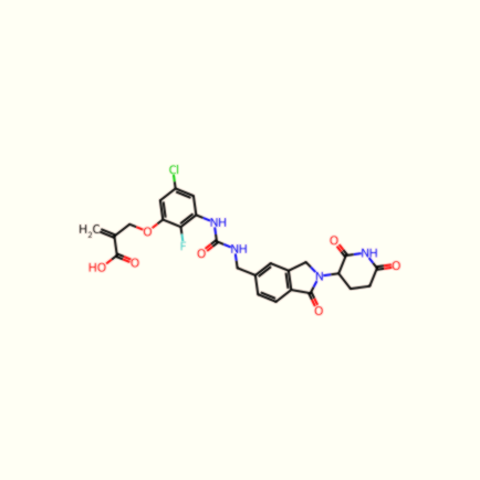 C=C(COc1cc(Cl)cc(NC(=O)NCc2ccc3c(c2)CN(C2CCC(=O)NC2=O)C3=O)c1F)C(=O)O